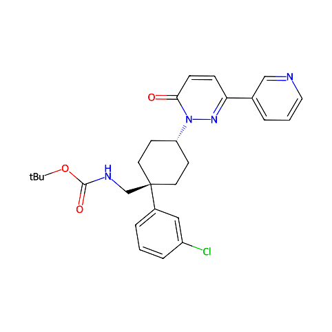 CC(C)(C)OC(=O)NC[C@]1(c2cccc(Cl)c2)CC[C@@H](n2nc(-c3cccnc3)ccc2=O)CC1